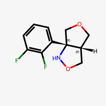 Fc1cccc([C@@]23COC[C@@H]2CON3)c1F